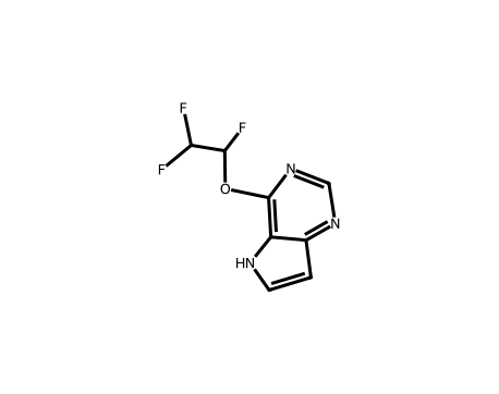 FC(F)C(F)Oc1ncnc2cc[nH]c12